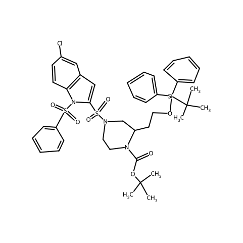 CC(C)(C)OC(=O)N1CCN(S(=O)(=O)c2cc3cc(Cl)ccc3n2S(=O)(=O)c2ccccc2)CC1CCO[Si](c1ccccc1)(c1ccccc1)C(C)(C)C